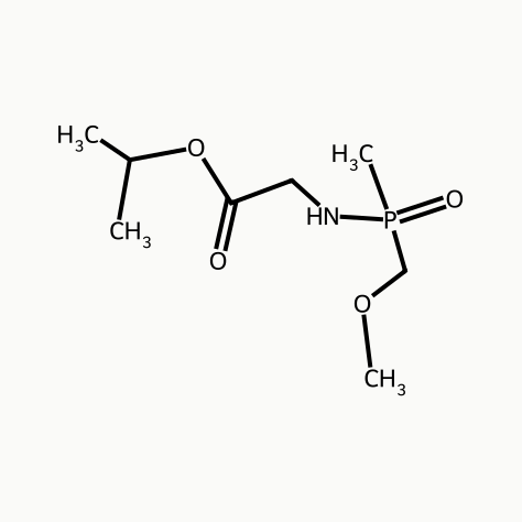 COCP(C)(=O)NCC(=O)OC(C)C